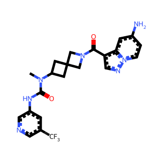 CN(C(=O)Nc1cncc(C(F)(F)F)c1)C1CC2(C1)CN(C(=O)c1cnn3ccc(N)cc13)C2